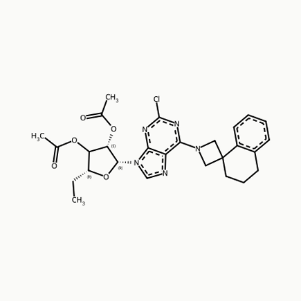 CC[C@H]1O[C@@H](n2cnc3c(N4CC5(CCCc6ccccc65)C4)nc(Cl)nc32)[C@@H](OC(C)=O)C1OC(C)=O